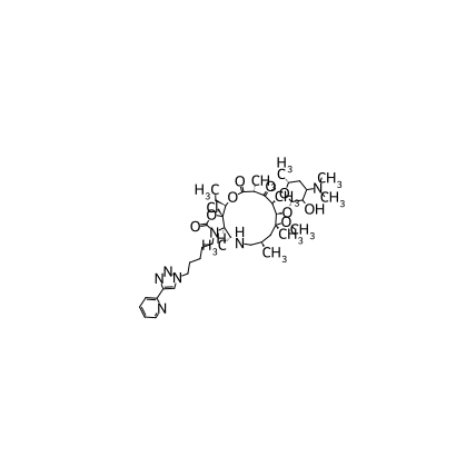 CC[C@H]1OC(=O)[C@H](C)C(=O)[C@@H](C)[C@@H](O[C@@H]2O[C@H](C)CC(N(C)C)C2O)[C@](C)(OC)C[C@@H](C)CN[C@H](C)[C@H]2N(CCCCCn3cc(-c4ccccn4)nn3)C(=O)O[C@]12Cl